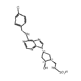 O=S(=O)(O)NC[C@@H]1C[C@@H](n2cnc3c(NCc4ccc(Cl)cc4)ncnc32)C[C@@H]1O